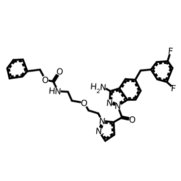 Nc1nn(C(=O)c2ccnn2CCOCCNC(=O)OCc2ccccc2)c2ccc(Cc3cc(F)cc(F)c3)cc12